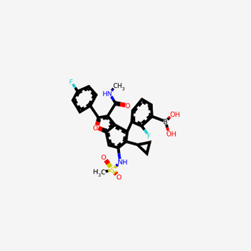 CNC(=O)c1c(-c2ccc(F)cc2)oc2cc(NS(C)(=O)=O)c(C3CC3)c(-c3cccc(B(O)O)c3F)c12